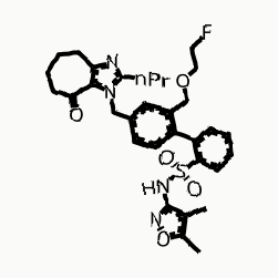 CCCc1nc2c(n1Cc1ccc(-c3ccccc3S(=O)(=O)Nc3noc(C)c3C)c(COCCF)c1)C(=O)CCCC2